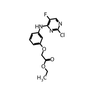 CCOC(=O)COc1cccc(Nc2nc(Cl)ncc2F)c1